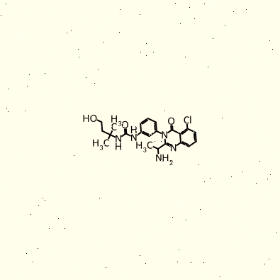 CC(N)c1nc2cccc(Cl)c2c(=O)n1-c1cccc(NC(=O)NC(C)(C)CCO)c1